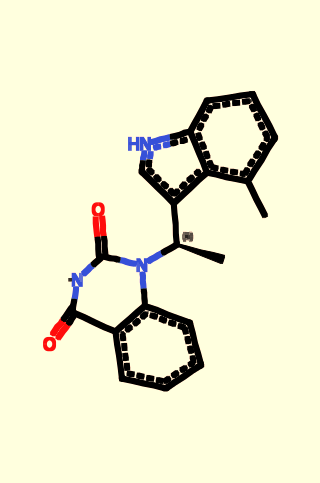 Cc1cccc2[nH]cc([C@@H](C)N3C(=O)[N]C(=O)c4ccccc43)c12